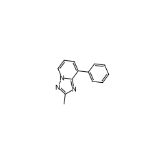 Cc1nc2c(-c3ccccc3)cccn2n1